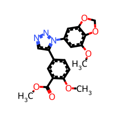 COC(=O)c1cc(-c2cnnn2-c2cc(OC)c3c(c2)OCO3)ccc1OC